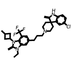 C=C1N(CC)c2cc(CCCN3CCC4(CC3)C(=C)Nc3ccc(Cl)cc34)cc(C(F)(F)F)c2N1C1CC(C)C1